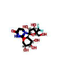 O=c1ccn([C@]2(C3OC[C@@H](O)[C@H](O)[C@H]3O)O[C@@](CO)(C(F)F)[C@@H](O)[C@H]2O)c(=O)[nH]1